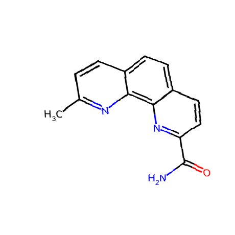 Cc1ccc2ccc3ccc(C(N)=O)nc3c2n1